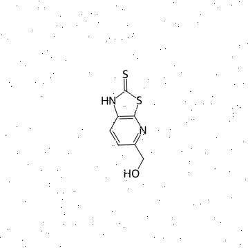 OCc1ccc2[nH]c(=S)sc2n1